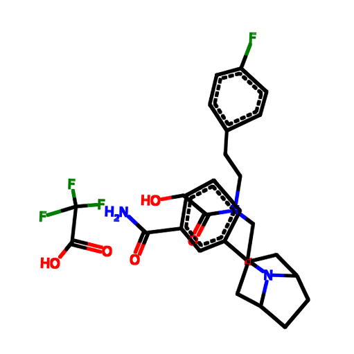 NC(=O)c1cccc(C2CC3CCC(C2)N3CCN(CCc2ccc(F)cc2)C(=O)CO)c1.O=C(O)C(F)(F)F